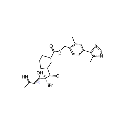 CC(=N)/C=C(\O)[C@H](C(=O)C1CCCC(C(=O)NCc2ccc(-c3scnc3C)cc2C)C1)C(C)C